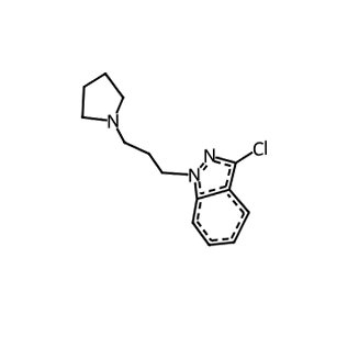 Clc1nn(CCCN2CCCC2)c2ccccc12